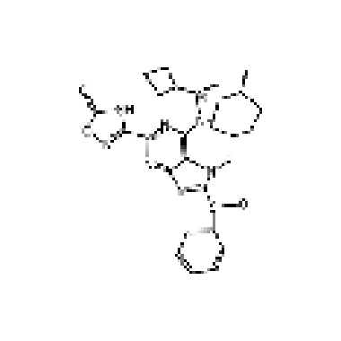 C[C@@H](Nc1nc(-c2noc(=O)[nH]2)nc2nc([S+]([O-])c3ccccc3)n(C[C@H]3CC[C@H](C)CC3)c12)C1CCC1